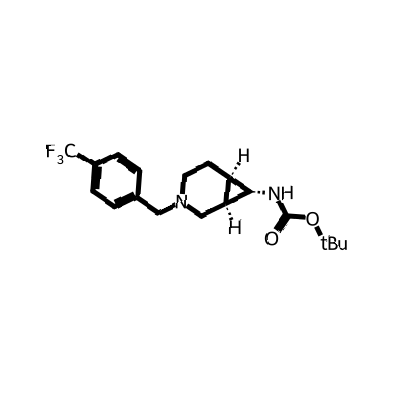 CC(C)(C)OC(=O)N[C@H]1[C@@H]2CCN(Cc3ccc(C(F)(F)F)cc3)C[C@@H]21